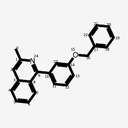 Cc1cc2ccccc2c(-c2cccc(OCc3ccccc3)c2)n1